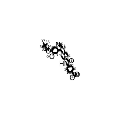 COc1cc2c(N3CCN(C(=O)Nc4ccc([N+](=O)[O-])cc4)CC3)ncnc2cc1O[Si](C)(C)C(C)(C)C